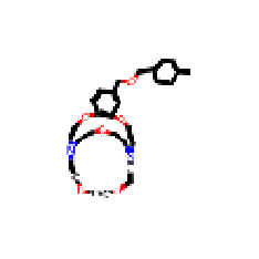 Cc1ccc(COCc2ccc3c(c2)OCCN2CCOCCOCCN(CCOCC2)CCO3)cc1